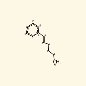 CCCCC=Cc1ccccc1